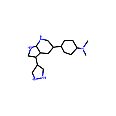 CN(C)C1CCC(C2CNC3NCC(C4CNNC4)C3C2)CC1